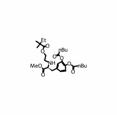 CCCCC(=O)Oc1ccc(C[C@H](NCCOC(=O)C(C)(C)CC)C(=O)OC)cc1OC(=O)CCCC